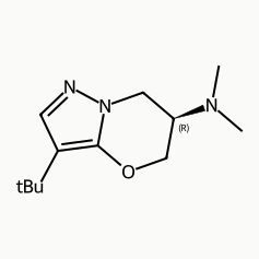 CN(C)[C@H]1COc2c(C(C)(C)C)cnn2C1